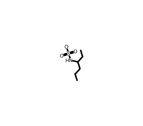 CCCC(CC)NS([O])(=O)=O